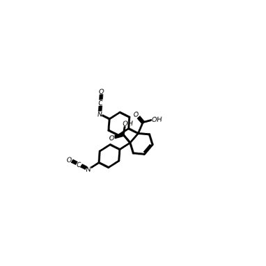 O=C=NC1CCC(C2(C(=O)O)CC=CCC2(C(=O)O)C2CCC(N=C=O)CC2)CC1